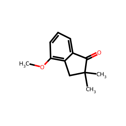 COc1cccc2c1CC(C)(C)C2=O